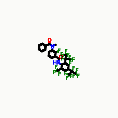 CN(C(=O)c1ccccc1)c1cccc(C(=O)Nc2c(C(F)(F)F)cc(C(F)(C(F)(F)F)C(F)(F)F)cc2C(F)(C(F)(F)F)C(F)(F)F)c1F